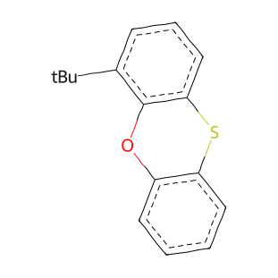 CC(C)(C)c1cccc2c1Oc1ccccc1S2